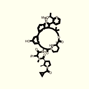 CCn1c(-c2cccnc2[C@H](C)OC)c2c3cc(ccc31)-c1cc(O)cc(c1)C[C@H](NC(=O)C(C(C)C)N(C)C(=O)[C@H]1CCN(C(=O)C3CC3)[C@H]1C)C(=O)N1CCC[C@H](N1)C(=O)OCC(C)(C)C2